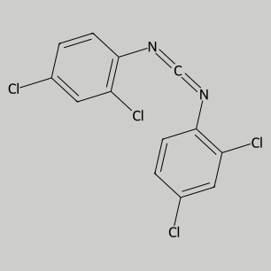 Clc1ccc(N=C=Nc2ccc(Cl)cc2Cl)c(Cl)c1